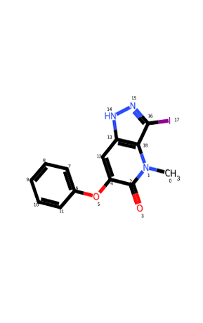 Cn1c(=O)c(Oc2ccccc2)cc2[nH]nc(I)c21